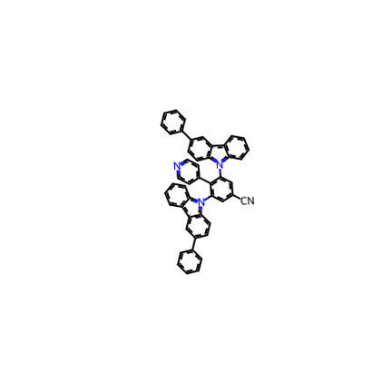 N#Cc1cc(-n2c3ccccc3c3cc(-c4ccccc4)ccc32)c(-c2ccncc2)c(-n2c3ccccc3c3cc(-c4ccccc4)ccc32)c1